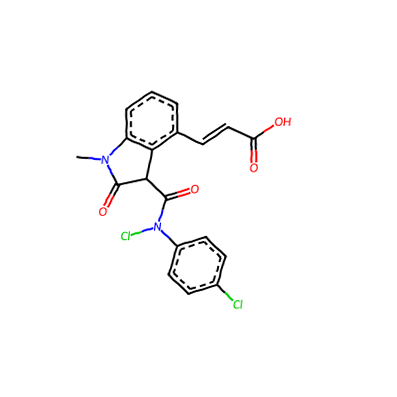 CN1C(=O)C(C(=O)N(Cl)c2ccc(Cl)cc2)c2c(C=CC(=O)O)cccc21